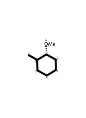 CO[C@@H]1CCCCC1C